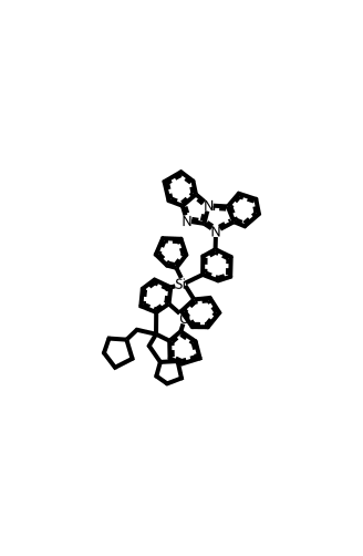 c1ccc([Si](c2ccccc2)(c2cccc(-n3c4ccccc4n4c5ccccc5nc34)c2)c2cccc3c2Oc2ccccc2C3(CC2CCCC2)CC2CCCC2)cc1